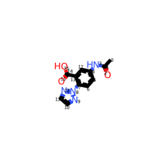 CC(=O)Nc1ccc(-n2nccn2)c(C(=O)O)c1